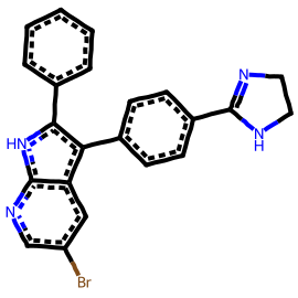 Brc1cnc2[nH]c(-c3ccccc3)c(-c3ccc(C4=NCCN4)cc3)c2c1